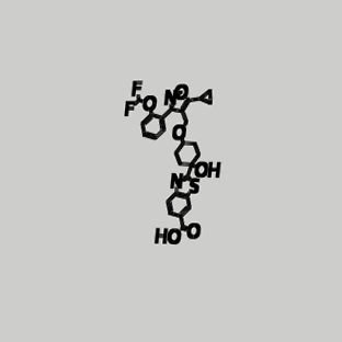 O=C(O)c1ccc2nc(C3(O)CCC(OCc4c(-c5ccccc5OC(F)F)noc4C4CC4)CC3)sc2c1